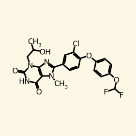 CC(O)Cn1c(=O)[nH]c(=O)c2c1nc(-c1ccc(Oc3ccc(OC(F)F)cc3)c(Cl)c1)n2C